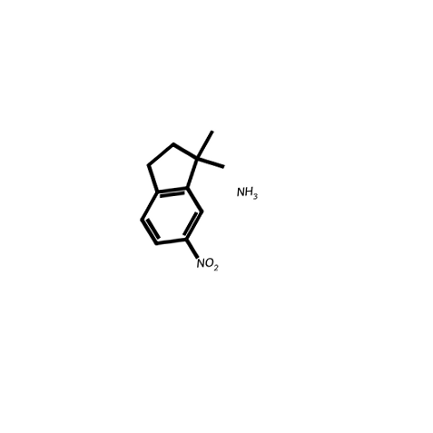 CC1(C)CCc2ccc([N+](=O)[O-])cc21.N